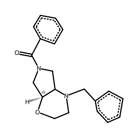 O=C(c1ccccc1)N1CC2[C@H](C1)OCCN2Cc1ccccc1